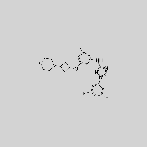 Cc1cc(Nc2ncn(-c3cc(F)cc(F)c3)n2)cc(OC2CC(N3CCOCC3)C2)c1